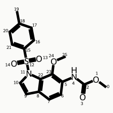 COC(=O)Nc1ccc2ccn(S(=O)(=O)c3ccc(C)cc3)c2c1OC